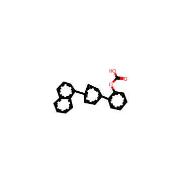 O=C(O)Oc1ccccc1-c1ccc(-c2cccc3ccccc23)cc1